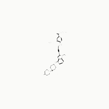 CNC(=O)c1ccc(NCC#Cc2cc3c(NC4CCC(C)(N5CCC(C(F)(F)F)CC5)CC4)cccc3n2CC(F)(F)F)c(OC)c1